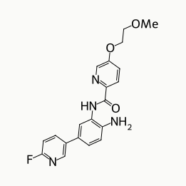 COCCOc1ccc(C(=O)Nc2cc(-c3ccc(F)nc3)ccc2N)nc1